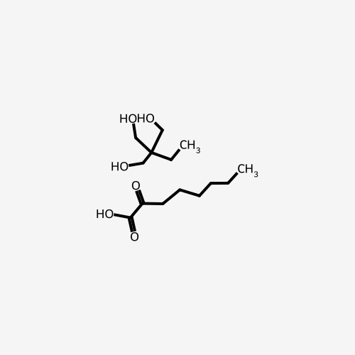 CCC(CO)(CO)CO.CCCCCCC(=O)C(=O)O